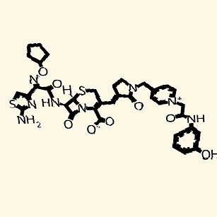 Nc1nc(/C(=N/OC2CCCC2)C(=O)N[C@@H]2C(=O)N3C(C(=O)[O-])=C(/C=C4\CCN(Cc5cc[n+](CC(=O)Nc6cccc(O)c6)cc5)C4=O)CS[C@H]23)cs1